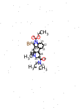 CCOC(=O)n1c(Br)c2c3c(cccc31)C1=C[C@@H](C(=O)N(CC)CC)CN(C)[C@@H]1C2